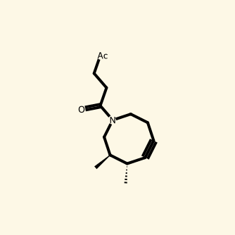 CC(=O)CCC(=O)N1CCC#C[C@H](C)[C@@H](C)C1